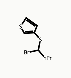 CCCC(Br)Sc1ccsc1